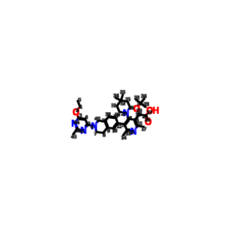 CCOc1cc(N2CCc3cc(-c4c(C)nc(C)c([C@H](OC(C)(C)C)C(=O)O)c4N4CCC(C)(C)CC4)ccc3C2)nc(C)n1